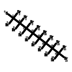 [S]C(Br)(Br)C(Br)(Br)C(Br)(Br)C(Br)(Br)C(Br)(Br)C(Br)(Br)C(Br)(Br)C(Br)(Br)Br